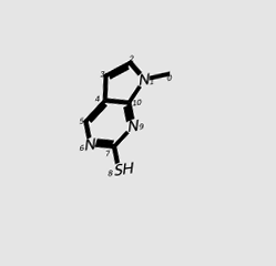 Cn1ccc2cnc(S)nc21